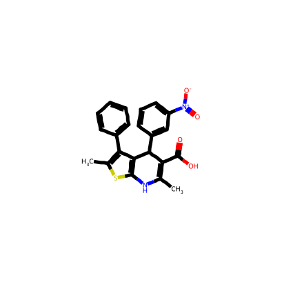 CC1=C(C(=O)O)C(c2cccc([N+](=O)[O-])c2)c2c(sc(C)c2-c2ccccc2)N1